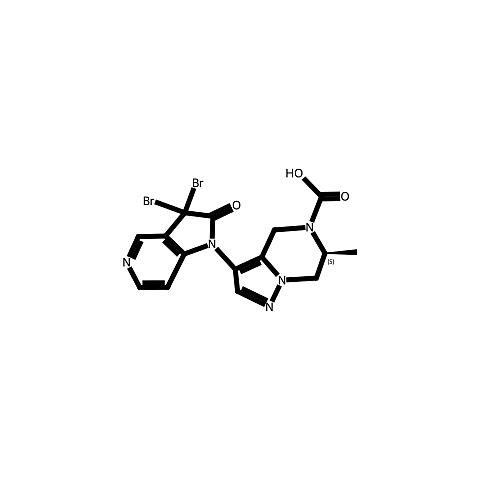 C[C@H]1Cn2ncc(N3C(=O)C(Br)(Br)c4cnccc43)c2CN1C(=O)O